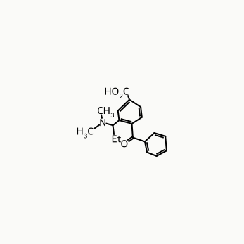 CCC(c1cc(C(=O)O)ccc1C(=O)c1ccccc1)N(C)C